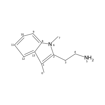 Cc1c(CCN)n(C)c2ccccc12